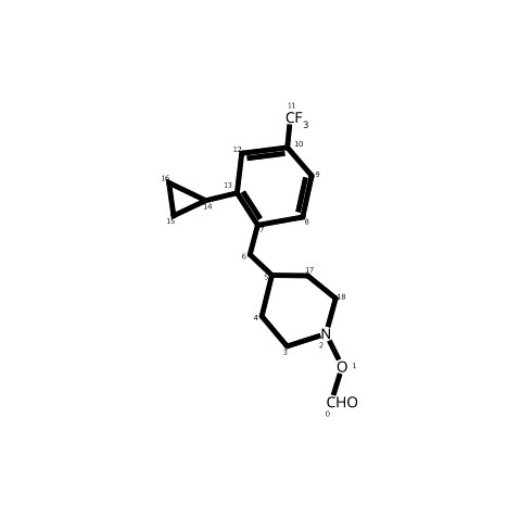 O=CON1CCC(Cc2ccc(C(F)(F)F)cc2C2CC2)CC1